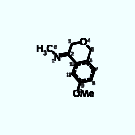 C/N=C1\COCc2ccc(OC)cc21